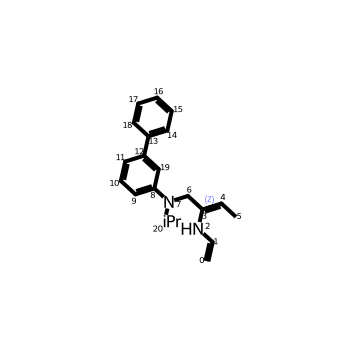 C=CN/C(=C\C)CN(c1cccc(-c2ccccc2)c1)C(C)C